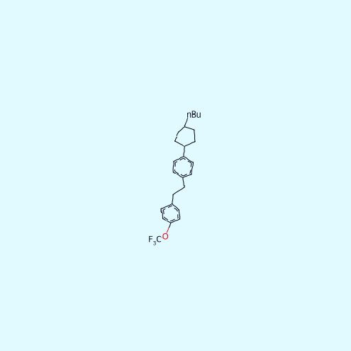 CCCCC1CCC(c2ccc(CCc3ccc(OC(F)(F)F)cc3)cc2)CC1